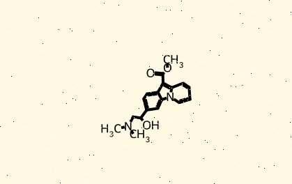 COC(=O)c1c2ccc(C(O)CN(C)C)cc2n2ccccc12